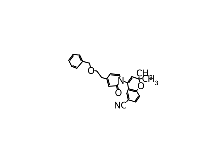 CC1(C)C=C(n2ccc(CCOCc3ccccc3)cc2=O)c2cc(C#N)ccc2O1